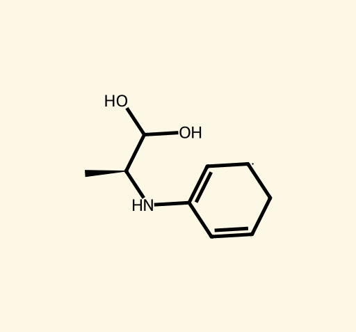 C[C@H](NC1=C[CH]CC=C1)C(O)O